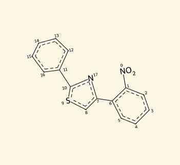 O=[N+]([O-])c1ccccc1-c1csc(-c2ccccc2)n1